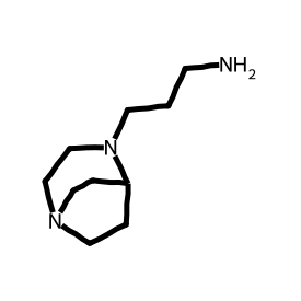 NCCCN1CCN2CCC1CC2